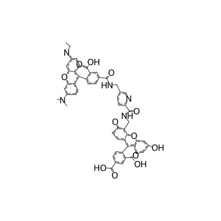 CC/N=c1\ccc2c(-c3ccc(C(=O)NCc4ccc(C(=O)NCc5c6oc7cc(O)ccc7c(-c7ccc(C(=O)O)cc7C(=O)O)c-6ccc5=O)nc4)cc3C(=O)O)c3ccc(N(C)C)cc3oc-2c1